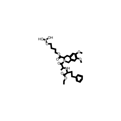 CCOC(=O)C(CCc1ccccc1)NC(C)C(=O)N1Cc2cc(OC)c(OC)cc2CC1C(=O)OCCCCON(O)O